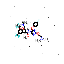 CN(C)CCOc1ncc(N(C)C(=O)C(C)(CC(O)CN(C)C)c2cc(C(F)(F)F)cc(C(F)(F)F)c2)c(Oc2ccc(F)cc2)n1